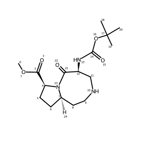 COC(=O)[C@@H]1CC[C@@H]2CCNC[C@H](NC(=O)OC(C)(C)C)C(=O)N21